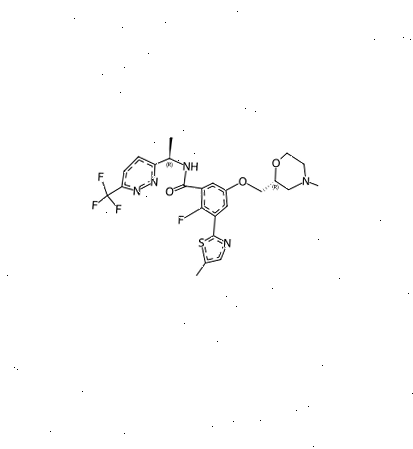 Cc1cnc(-c2cc(OC[C@H]3CN(C)CCO3)cc(C(=O)N[C@H](C)c3ccc(C(F)(F)F)nn3)c2F)s1